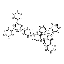 c1ccc(-c2nc(-c3ccccc3)nc(-c3ccc(-c4ccc(-c5nc6ccccc6c6oc(-c7ccncc7)c(-c7ccncc7)c56)cc4)cc3)n2)cc1